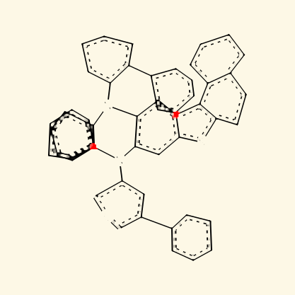 c1ccc(-c2cccc(N(c3ccccc3)c3cc4sc5ccc6ccccc6c5c4cc3N(c3ccccc3)c3ccccc3-c3ccccc3)c2)cc1